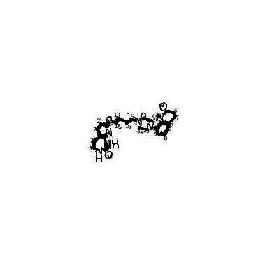 CN1C(=O)CCc2cccc(N3CCN(CCCCOc4ccc5c(n4)NC(=O)NCC5)CC3)c21